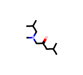 CC(C)CC(=O)CN(C)CC(C)C